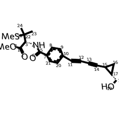 COC(=O)[C@@H](NC(=O)c1ccc(C#CC#CC2C[C@@H]2CO)cc1)C(C)(C)SC